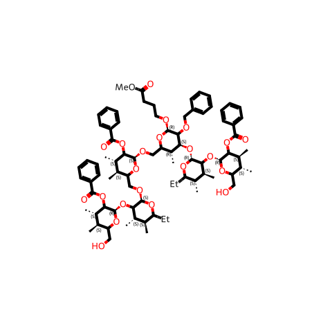 CCC1O[C@H](O[C@@H]2C(OCc3ccccc3)[C@H](OCCCC(=O)OC)OC(CO[C@H]3OC(CO[C@H]4OC(CC)[C@@H](C)[C@H](C)C4O[C@H]4OC(CO)[C@@H](C)[C@H](C)C4OC(=O)c4ccccc4)[C@@H](C)[C@H](C)C3OC(=O)c3ccccc3)[C@H]2C)C(O[C@H]2OC(CO)[C@@H](C)[C@H](C)C2OC(=O)c2ccccc2)[C@@H](C)[C@@H]1C